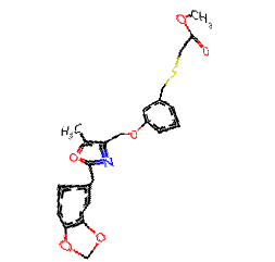 COC(=O)CSCc1cccc(OCc2nc(-c3ccc4c(c3)OCO4)oc2C)c1